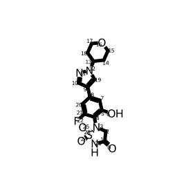 O=C1CN(c2c(O)cc(-c3cnn(C4CCOCC4)c3)cc2F)S(=O)(=O)N1